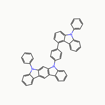 c1ccc(-n2c3ccccc3c3cc4c5ccccc5n(-c5ccc(-c6cccc7c6c6ccccc6n7-c6ccccc6)cc5)c4cc32)cc1